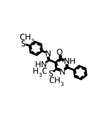 CNC(=Nc1ccc(SC)cc1)c1c(SC)nc(-c2ccccc2)[nH]c1=O